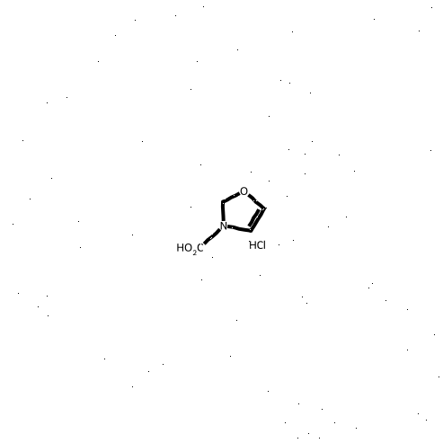 Cl.O=C(O)N1C=COC1